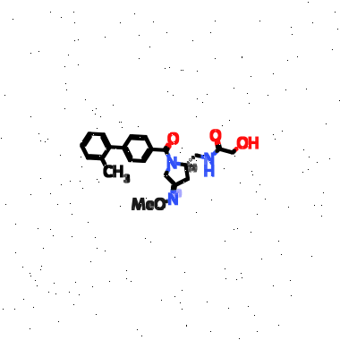 CO/N=C1/C[C@@H](CNC(=O)CO)N(C(=O)c2ccc(-c3ccccc3C)cc2)C1